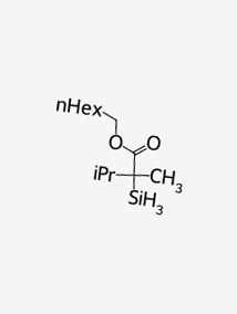 CCCCCCCOC(=O)C(C)([SiH3])C(C)C